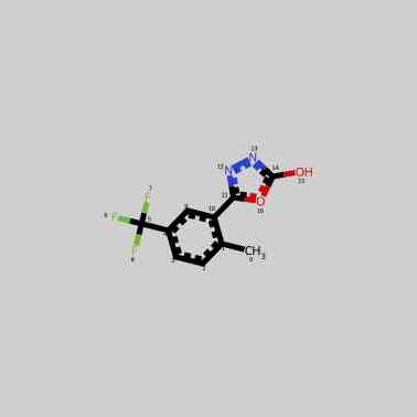 Cc1ccc(C(F)(F)F)cc1-c1nnc(O)o1